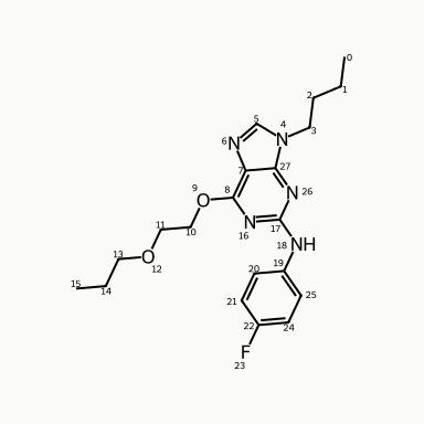 CCCCn1cnc2c(OCCOCCC)nc(Nc3ccc(F)cc3)nc21